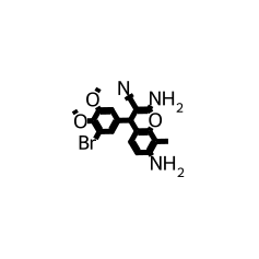 COc1cc(C2C(C#N)=C(N)Oc3c2ccc(N)c3C)cc(Br)c1OC